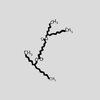 CCCCCCCCC(CCCCCC)COC(=O)CCCCCCCCC(=O)OCC(CCCCCC)CCCCCCCC